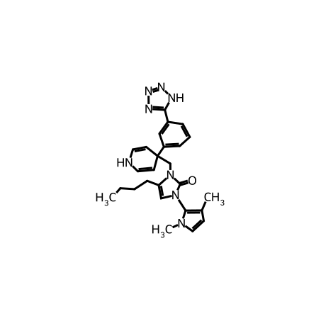 CCCCc1cn(-c2c(C)ccn2C)c(=O)n1CC1(c2cccc(-c3nnn[nH]3)c2)C=CNC=C1